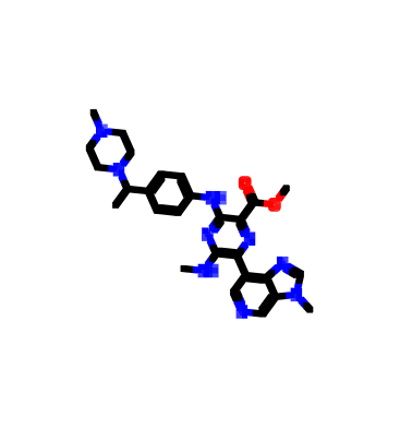 CNc1nc(Nc2ccc(C(C)N3CCN(C)CC3)cc2)c(C(=O)OC)nc1-c1cncc2c1ncn2C